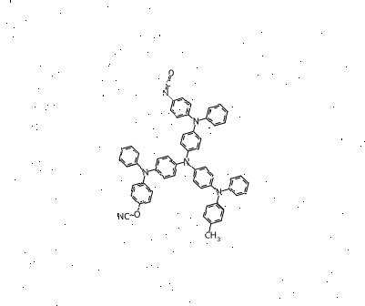 Cc1ccc(N(c2ccccc2)c2ccc(N(c3ccc(N(c4ccccc4)c4ccc(N=C=O)cc4)cc3)c3ccc(N(c4ccccc4)c4ccc(OC#N)cc4)cc3)cc2)cc1